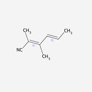 C/C=C/C(C)=C(\C)C#N